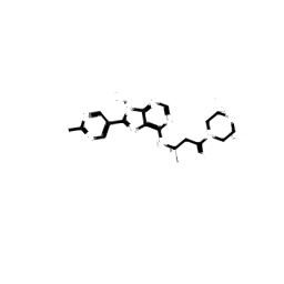 CCn1c(-c2cnc(C)nc2)nc2c(N[C@H](C)CC(=O)N3C[C@@H](C)O[C@@H](C)C3)ncnc21